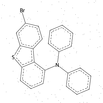 Brc1ccc2c(c1)sc1cccc(N(c3ccccc3)c3ccccc3)c12